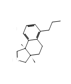 CCCc1cccc2c1CC[C@]1(C)CNC[C@H]21.Cl